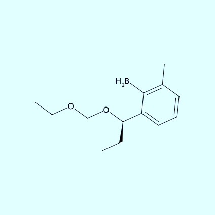 Bc1c(C)cccc1[C@@H](CC)OCOCC